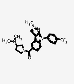 CN(C)C1CCN(C(=O)c2ccc3c(c2)c2cn(C)nc2n3-c2ccc(C(F)(F)F)cc2)C1